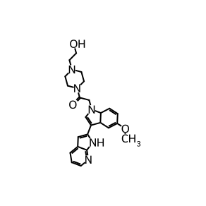 COC1=CC2C(c3cc4cccnc4[nH]3)=CN(CC(=O)N3CCN(CCO)CC3)C2C=C1